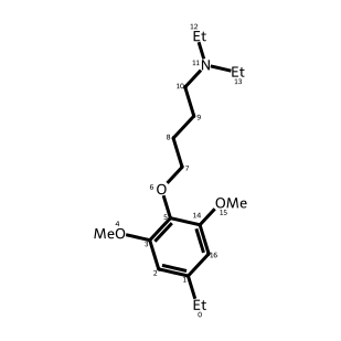 CCc1cc(OC)c(OCCCCN(CC)CC)c(OC)c1